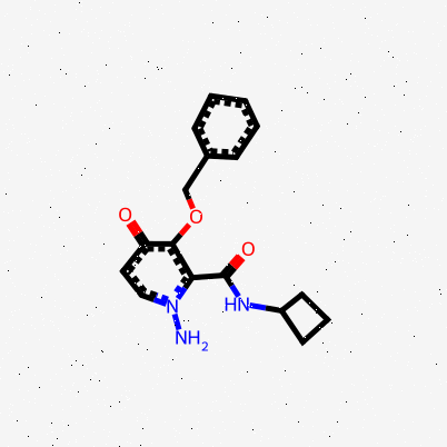 Nn1ccc(=O)c(OCc2ccccc2)c1C(=O)NC1CCC1